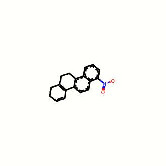 O=[N+]([O-])c1cccc2c3c(ccc12)C1=C(CCC=C1)CC3